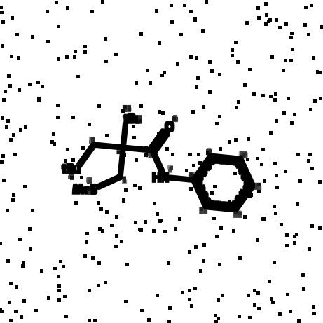 CSCC(CC(C)(C)C)(C(=O)Nc1ccccc1)C(C)(C)C